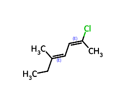 CC/C(C)=C/C=C(\C)Cl